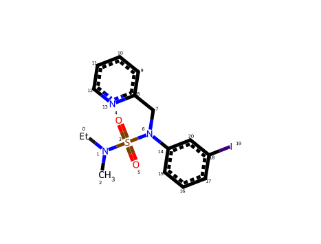 CCN(C)S(=O)(=O)N(Cc1ccccn1)c1cccc(I)c1